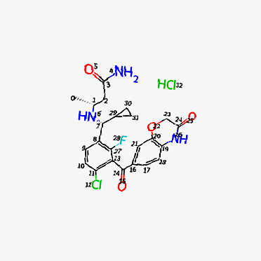 C[C@H](CC(N)=O)N[C@@H](c1ccc(Cl)c(C(=O)c2ccc3c(c2)OCC(=O)N3)c1F)C1CC1.Cl